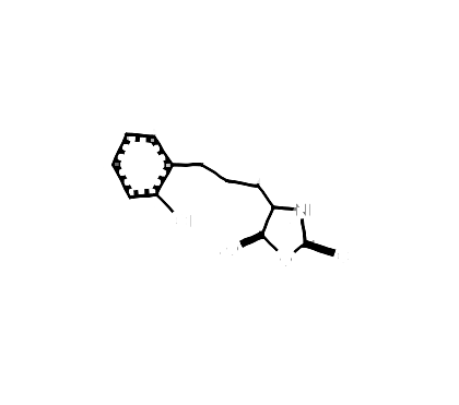 O=C1NC(CCCc2ccccc2O)C(=O)O1